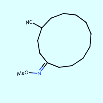 CON=C1CCCCCCCCCC(C#N)CC1